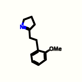 COc1ccccc1CCC1=NCCC1